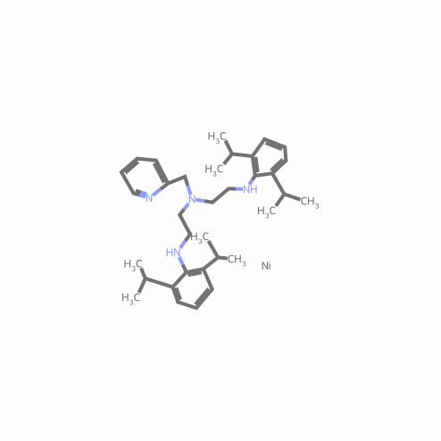 CC(C)c1cccc(C(C)C)c1NCCN(CCNc1c(C(C)C)cccc1C(C)C)Cc1ccccn1.[Ni]